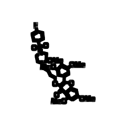 COc1cc(OC)c2c(=O)c(OCCCCN3CCN(S(=O)(=O)c4ccc(F)cc4)CC3)c(-c3cc(OC)c(OC)c(OC)c3)oc2c1